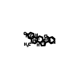 CN1C[C@@H]2[C@H](CC[C@]3(C)C(c4cnccc4Cl)=CC[C@@H]23)[C@@]2(C)CCC(=O)C=C12